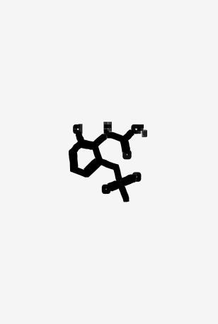 CS(=O)(=O)Cc1cccc(Cl)c1NC(=O)C(F)(F)F